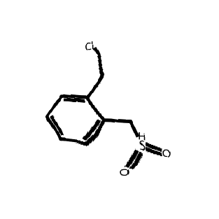 O=[SH](=O)Cc1ccccc1CCl